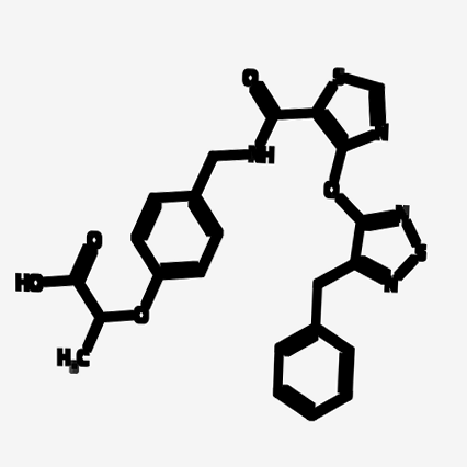 CC(Oc1ccc(CNC(=O)c2scnc2Oc2nsnc2Cc2ccccc2)cc1)C(=O)O